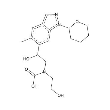 Cc1cc2cnn(C3CCCCO3)c2cc1C(O)CN(CCO)C(=O)O